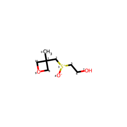 CC1(C[S+]([O-])CCO)COC1